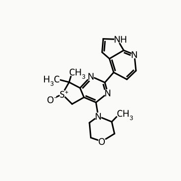 CC1COCCN1c1nc(-c2ccnc3[nH]ccc23)nc2c1C[S+]([O-])C2(C)C